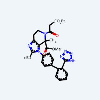 CCCCc1nc2c(n1-c1ccc(-c3ccccc3-c3nnn[nH]3)cc1)C(C)(C(=O)OC)N(C(=O)CC(=O)OCC)CC2